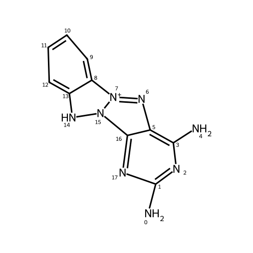 Nc1nc(N)c2n[n+]3c4ccccc4[nH]n3c2n1